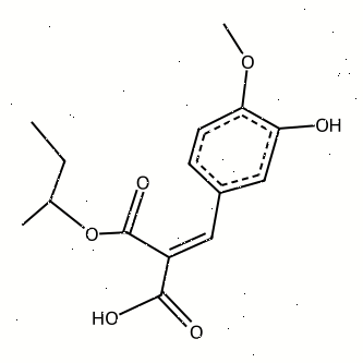 CCC(C)OC(=O)C(=Cc1ccc(OC)c(O)c1)C(=O)O